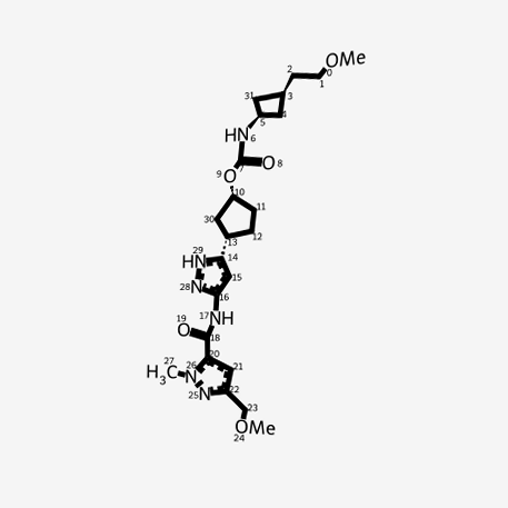 COCC[C@H]1C[C@@H](NC(=O)O[C@@H]2CC[C@H](c3cc(NC(=O)c4cc(COC)nn4C)n[nH]3)C2)C1